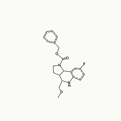 COCC1Nc2ccc(F)cc2C2C1CCN2C(=O)OCc1ccccc1